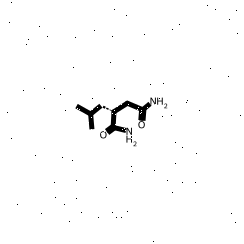 CC(C)C[C@H](CC(N)=O)C(N)=O